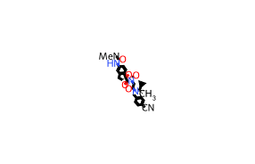 CNC(=O)Nc1ccc2c(c1)CC[C@@]21OC(=O)N(CC(=O)N(Cc2ccc(C#N)cc2)[C@@H](C)C2CC2)C1=O